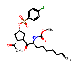 C=CCCCCC[C@H](NC(=O)OC(C)(C)C)C(=O)C1C[C@@H](OS(=O)(=O)c2ccc(Br)cc2)C[C@H]1C(=O)OC